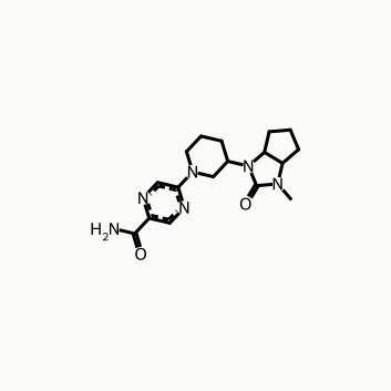 CN1C(=O)N(C2CCCN(c3cnc(C(N)=O)cn3)C2)C2CCCC21